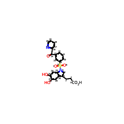 O=C(O)CCc1cn(S(=O)(=O)c2cccc(C(=O)c3ccccn3)c2)c2cc(O)c(O)cc12